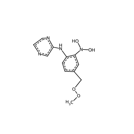 COOCc1ccc(Nc2cnccn2)c(N(O)O)c1